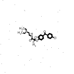 CCN(CC)CCNC(=O)C(C)(C)Oc1ccc(C(=O)c2ccc(Cl)cc2)cc1